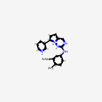 CC(=O)Nc1cc(Nc2ncc3ccc(-c4cccnc4)n3n2)ccc1C(C)C